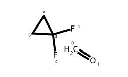 C=O.FC1(F)CC1